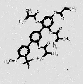 C=CC(=O)Oc1cc(OC(=O)C(=C)C)c(-c2ccc(-c3ccc(OC)c(C(F)(F)F)c3)c(OC(=O)C(=C)C)c2)c(OC(=O)C(=C)C)c1